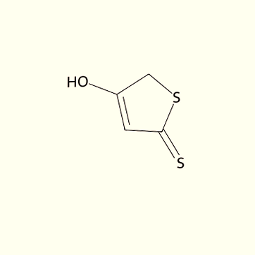 OC1=CC(=S)SC1